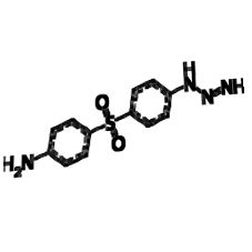 N=NNc1ccc(S(=O)(=O)c2ccc(N)cc2)cc1